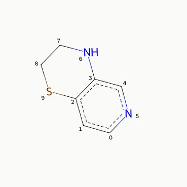 c1cc2c(cn1)NCCS2